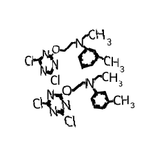 CCN(CCOc1nc(Cl)nc(Cl)n1)c1cccc(C)c1.CCN(CCOc1nc(Cl)nc(Cl)n1)c1cccc(C)c1